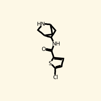 O=C(NC1CC2CC1CN2)c1ccc(Cl)s1